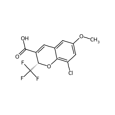 COc1cc(Cl)c2c(c1)C=C(C(=O)O)[C@@H](C(F)(F)F)O2